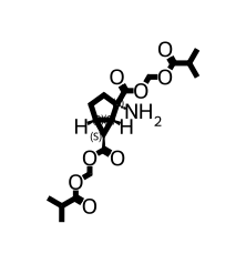 CC(C)C(=O)OCOC(=O)[C@H]1[C@@H]2CC[C@@](N)(C(=O)OCOC(=O)C(C)C)[C@@H]21